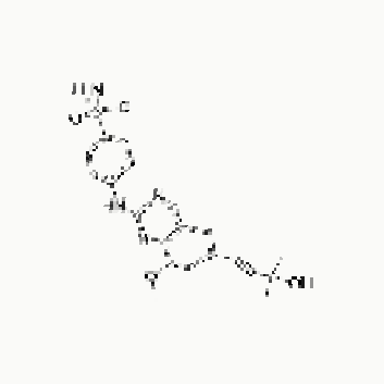 COc1cc(C#CC(C)(C)O)cc2cnc(Nc3ccc(S(N)(=O)=O)cc3)nc12